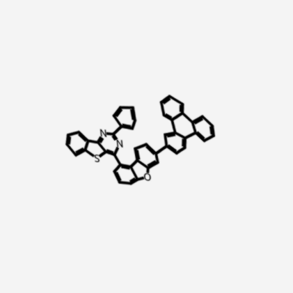 c1ccc(-c2nc(-c3cccc4oc5cc(-c6ccc7c8ccccc8c8ccccc8c7c6)ccc5c34)c3sc4ccccc4c3n2)cc1